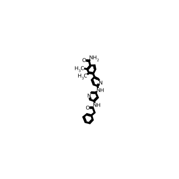 Cc1c(C(N)=O)ccc(-c2ccc(Nc3cncc(NC(=O)Cc4ccccc4)c3)nc2)c1C